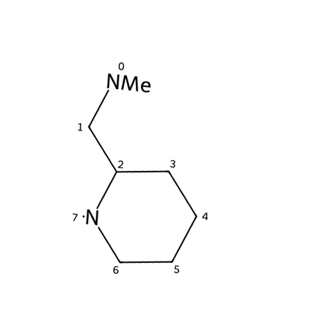 CNCC1CCCC[N]1